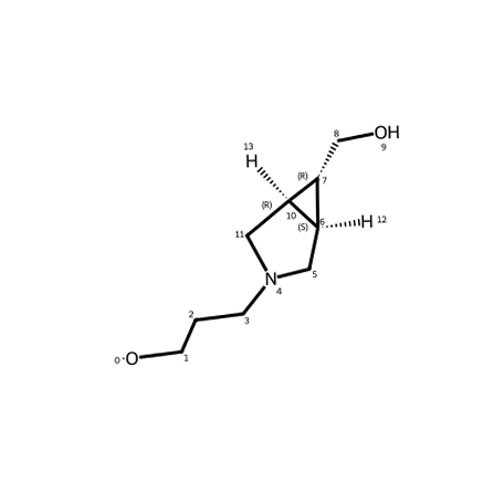 [O]CCCN1C[C@@H]2[C@@H](CO)[C@@H]2C1